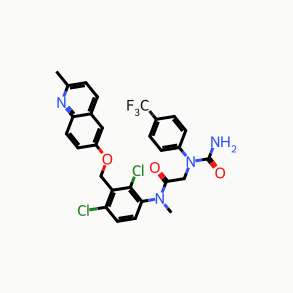 Cc1ccc2cc(OCc3c(Cl)ccc(N(C)C(=O)CN(C(N)=O)c4ccc(C(F)(F)F)cc4)c3Cl)ccc2n1